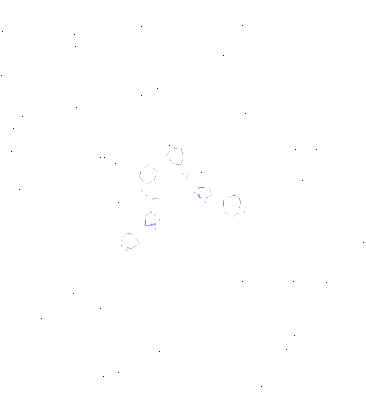 Cc1ccccc1NC(=O)c1cc(-c2ccncc2)nn1CCCCn1nc(-c2ccncc2)cc1C(=O)Nc1ccccc1C